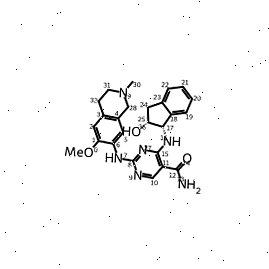 COc1cc2c(cc1Nc1ncc(C(N)=O)c(N[C@H]3c4ccccc4C[C@H]3O)n1)CN(C)CC2